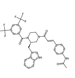 CC(=O)Nc1ccc(C=CC(=O)N2CCN(C(=O)c3cc(C(F)(F)F)cc(C(F)(F)F)c3)[C@H](Cc3c[nH]c4ccccc34)C2)cc1